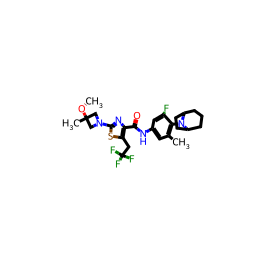 COC1(C)CN(c2nc(C(=O)Nc3cc(C)c(N4C5CCCC4CC5)c(F)c3)c(CC(F)(F)F)s2)C1